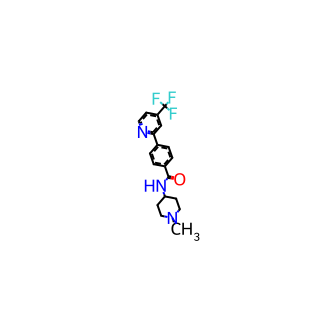 CN1CCC(NC(=O)c2ccc(-c3cc(C(F)(F)F)ccn3)cc2)CC1